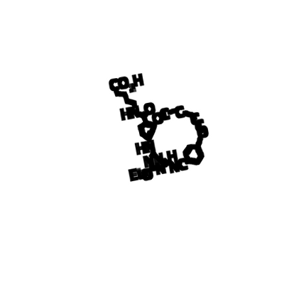 CCOc1nc2nc(n1)Nc1ccc(C(=O)NCCCCC(=O)O)c(c1)OCCCCCCOc1ccc(cc1)CN2